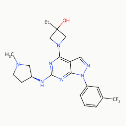 CCC1(O)CN(c2nc(N[C@H]3CCN(C)C3)nc3c2cnn3-c2cccc(C(F)(F)F)c2)C1